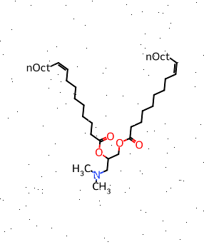 CCCCCCCC/C=C\CCCCCCCC(=O)OCC(CN(C)C)OC(=O)CCCCCCC/C=C\CCCCCCCC